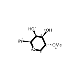 CO[C@@H]1CO[C@@H](C(C)C)[C@@H](O)[C@H]1O